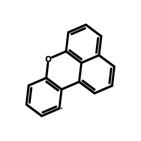 [c]1cccc2c1-c1cccc3cccc(c13)O2